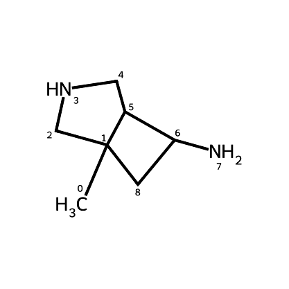 CC12CNCC1C(N)C2